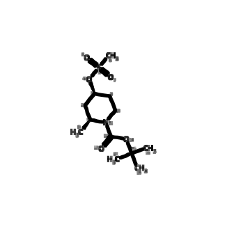 C[C@H]1C[C@@H](OS(C)(=O)=O)CCN1C(=O)OC(C)(C)C